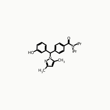 Cc1cc(C)n(C(c2ccc(C(=O)N(C(C)C)C(C)C)cc2)c2cccc(O)c2)n1